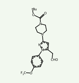 CC(C)(C)OC(=O)N1CCN(c2cc(CC=O)n(-c3ccc(OC(F)(F)F)cc3)n2)CC1